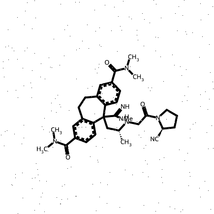 CNC(=N)C1(C[C@@H](C)NCC(=O)N2CCC[C@H]2C#N)c2ccc(C(=O)N(C)C)cc2CCc2cc(C(=O)N(C)C)ccc21